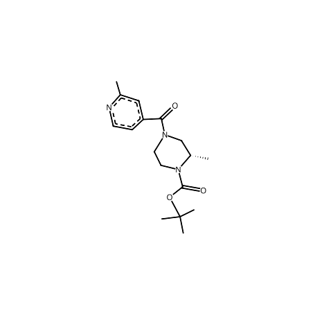 Cc1cc(C(=O)N2CCN(C(=O)OC(C)(C)C)[C@@H](C)C2)ccn1